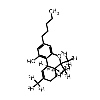 [2H]C([2H])([2H])C1=C[C@H]2c3c(O)cc(CCCCC)cc3OC(C([2H])([2H])[2H])(C([2H])([2H])[2H])[C@@H]2CC1